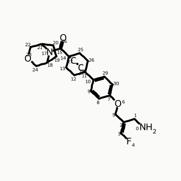 NC/C(=C\F)COc1ccc(C23CCC(C(=O)N4C5CCC4COC5)(CC2)CC3)cc1